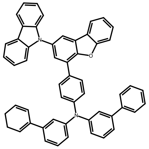 C1=CC(c2cccc(N(c3ccc(-c4cc(-n5c6ccccc6c6ccccc65)cc5c4oc4ccccc45)cc3)c3cccc(-c4ccccc4)c3)c2)=CCC1